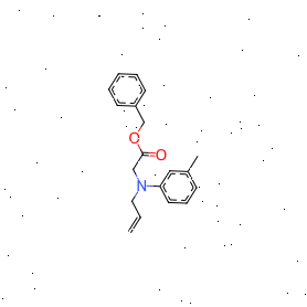 C=CCN(CC(=O)OCc1ccccc1)c1cccc(C)c1